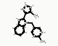 Cc1ncc(Cn2c(-c3nonc3C)nc3ccccc32)cn1